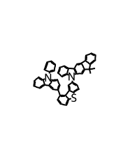 CC1(C)c2ccccc2-c2cc3c4ccccc4n(-c4ccc5sc6cccc(-c7ccc8c(c7)c7ccccc7n8-c7ccccc7)c6c5c4)c3cc21